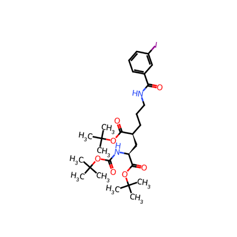 CC(C)(C)OC(=O)N[C@@H](C[C@H](CCCNC(=O)c1cccc(I)c1)C(=O)OC(C)(C)C)C(=O)OC(C)(C)C